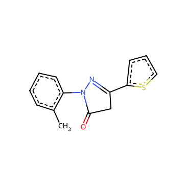 Cc1ccccc1N1N=C(c2cccs2)CC1=O